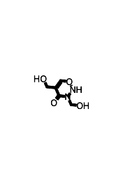 O=C1C(CO)=CONN1CO